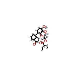 CCC(CC)C(=O)OC(C)(C)COc1c(-c2cccc3c2CCC3=O)ccc(OC)c1OC